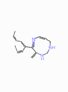 C=C1NCNC/C=C\N=C/1C(=C/C=C\C)/C=C\C